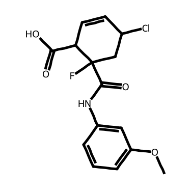 COc1cccc(NC(=O)C2(F)CC(Cl)C=CC2C(=O)O)c1